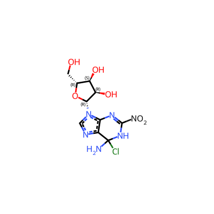 NC1(Cl)NC([N+](=O)[O-])=Nc2c1ncn2[C@@H]1O[C@H](CO)[C@@H](O)[C@H]1O